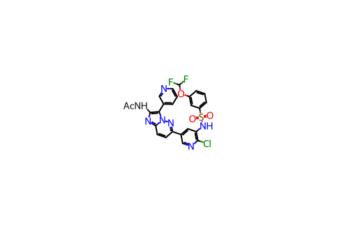 CC(=O)Nc1nc2ccc(-c3cnc(Cl)c(NS(=O)(=O)c4cccc(OC(F)F)c4)c3)nn2c1-c1cccnc1